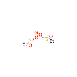 CCC(=O)SCCO[PH](=O)OCCSC(=O)CC